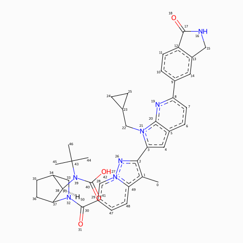 Cc1c(-c2cc3ccc(-c4ccc5c(c4)CNC5=O)nc3n2CC2CC2)nn2cc(C(=O)N3CC4CCC3[C@@H]4N(C(=O)O)C(C)(C)C)ccc12